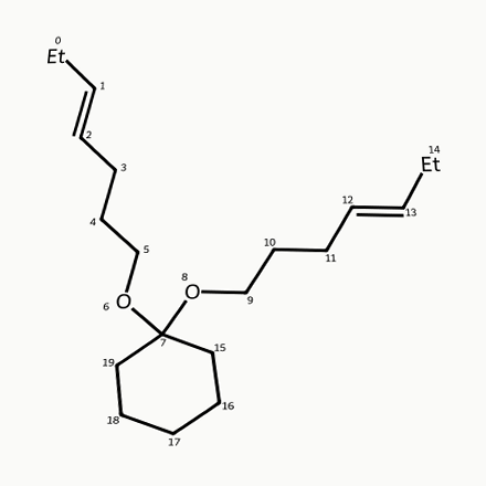 CCC=CCCCOC1(OCCCC=CCC)CCCCC1